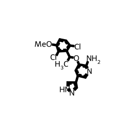 COc1ccc(Cl)c(C(C)Oc2cc(-c3cn[nH]c3)cnc2N)c1Cl